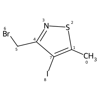 Cc1snc(CBr)c1I